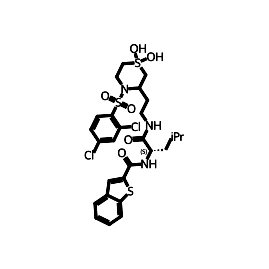 CC(C)C[C@H](NC(=O)c1cc2ccccc2s1)C(=O)NCCC1CS(O)(O)CCN1S(=O)(=O)c1ccc(Cl)cc1Cl